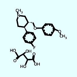 COc1ccc(OC[C@H]2CN(C)CC[C@@H]2c2ccc(F)cc2)cc1.O=C(O)C(O)C(O)C(=O)O